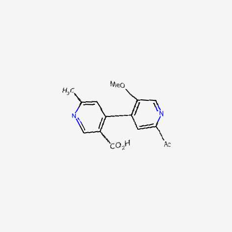 COc1cnc(C(C)=O)cc1-c1cc(C)ncc1C(=O)O